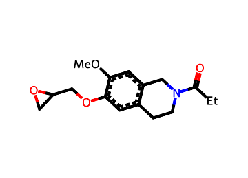 CCC(=O)N1CCc2cc(OCC3CO3)c(OC)cc2C1